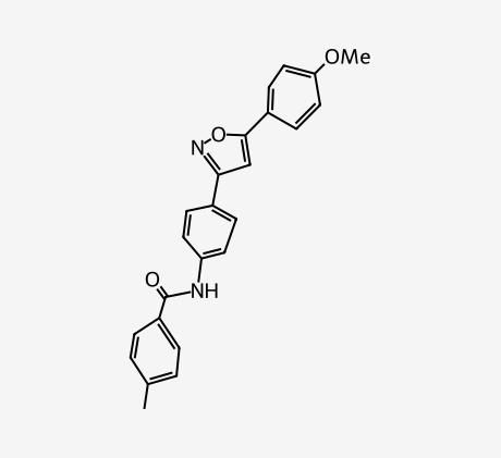 COc1ccc(-c2cc(-c3ccc(NC(=O)c4ccc(C)cc4)cc3)no2)cc1